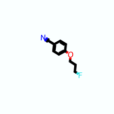 N#Cc1ccc(OCCCF)cc1